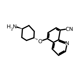 N#Cc1ccc(O[C@H]2CC[C@H](N)CC2)c2cccnc12